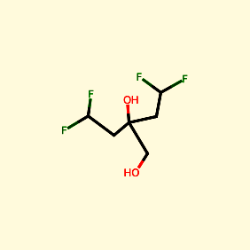 OCC(O)(CC(F)F)CC(F)F